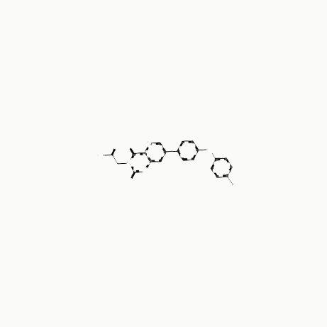 Cc1ccc(Oc2ccc(-c3cnc4c(=O)n(CC(=O)O)c(=O)oc4c3)cc2)cc1